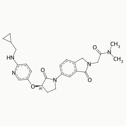 CN(C)C(=O)CN1Cc2ccc(N3CC[C@@H](Oc4ccc(NCC5CC5)nc4)C3=O)cc2C1=O